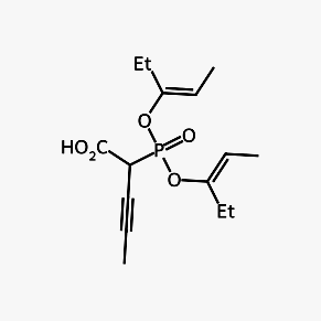 CC#CC(C(=O)O)P(=O)(OC(=CC)CC)OC(=CC)CC